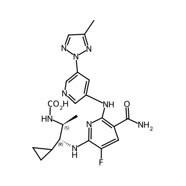 Cc1cnn(-c2cncc(Nc3nc(N[C@H](C4CC4)[C@H](C)NC(=O)O)c(F)cc3C(N)=O)c2)n1